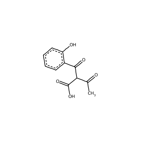 CC(=O)C(C(=O)O)C(=O)c1ccccc1O